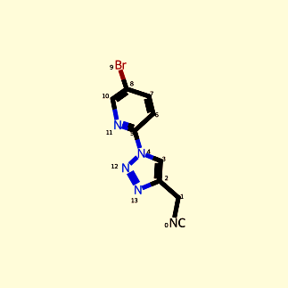 [C-]#[N+]Cc1cn(-c2ccc(Br)cn2)nn1